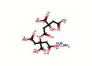 N.N.O=C(O)CC(O)(CC(=O)OC(CC(=O)O)(CC(=O)O)C(=O)O)C(=O)O